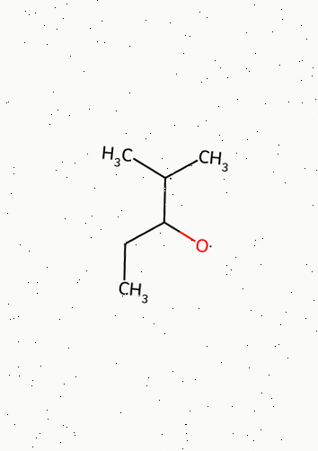 CCC([O])[C](C)C